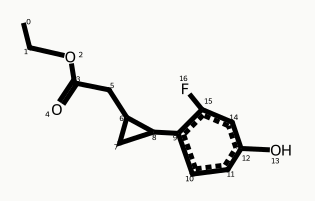 CCOC(=O)CC1CC1c1ccc(O)cc1F